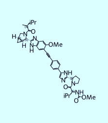 COC(=O)N[C@H](C(=O)N1CCC[C@H]1c1ncc(-c2ccc(C#Cc3cc4[nH]c([C@@H]5[C@H]6C[C@H]6CN5C(=O)[C@@H](C)C(C)C)nc4cc3OC)cc2)[nH]1)C(C)C